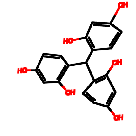 Oc1ccc(C(c2ccc(O)cc2O)c2ccc(O)cc2O)c(O)c1